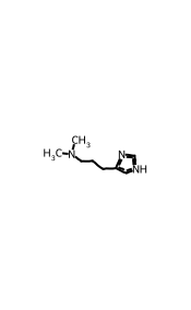 CN(C)CCCc1c[nH]cn1